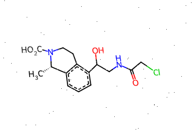 C[C@H]1c2cccc(C(O)CNC(=O)CCl)c2CCN1C(=O)O